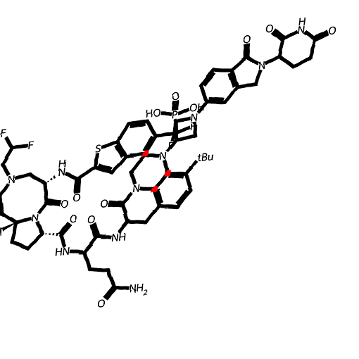 CC(C)(C)c1ccc(CC(NC(=O)C(CCC(N)=O)NC(=O)[C@@H]2CC[C@@H]3CCN(CC(F)F)C[C@H](NC(=O)c4cc5cc(C(F)(F)P(=O)(O)O)ccc5s4)C(=O)N32)C(=O)N2CCN(C3CN(c4ccc5c(c4)CN(C4CCC(=O)NC4=O)C5=O)C3)CC2)cc1